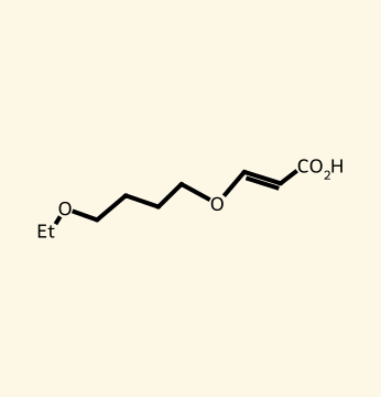 CCOCCCCOC=CC(=O)O